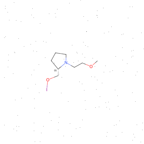 COCCN1CCC[C@H]1COI